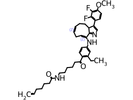 C=CCCCCC(=O)NCCCCCC(=O)c1ccc(N/C2=C\C/C=C\CCC3C(c4ccc(OC)c(F)c4F)=CN=C23)cc1CC